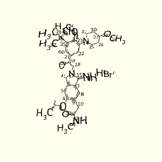 Br.CCOc1cc2c(cc1CC(=O)NC)C(=N)N(CC(=O)c1cc(N3CCC(OC)CC3)c(OC)c(C(C)(C)C)c1)C2